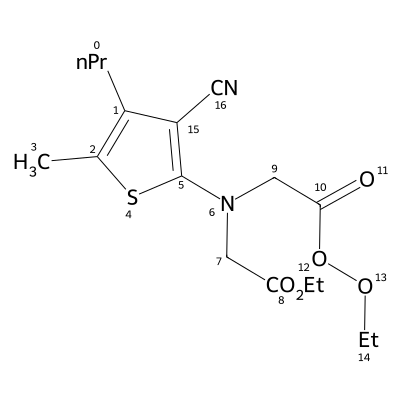 CCCc1c(C)sc(N(CC(=O)OCC)CC(=O)OOCC)c1C#N